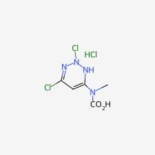 CN(C(=O)O)C1=CC(Cl)=NN(Cl)N1.Cl